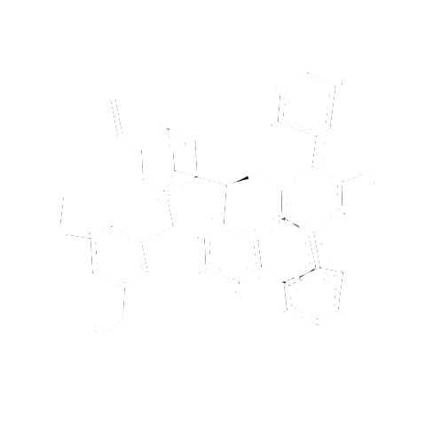 C=CC1C[N+]2(Cc3cc(OC)cc(OC)c3)CCC1CC2[C@@H](Oc1nc(-c2ccccc2)nc(Cl)c1-c1ccccc1)c1ccnc2ccccc12